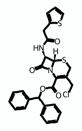 O=C(Cc1cccs1)N[C@@H]1C(=O)N2C(C(=O)OC(c3ccccc3)c3ccccc3)=C(CCl)CS[C@@H]12